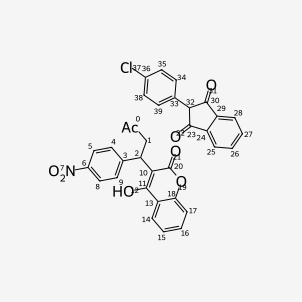 CC(=O)CC(c1ccc([N+](=O)[O-])cc1)c1c(O)c2ccccc2oc1=O.O=C1c2ccccc2C(=O)C1c1ccc(Cl)cc1